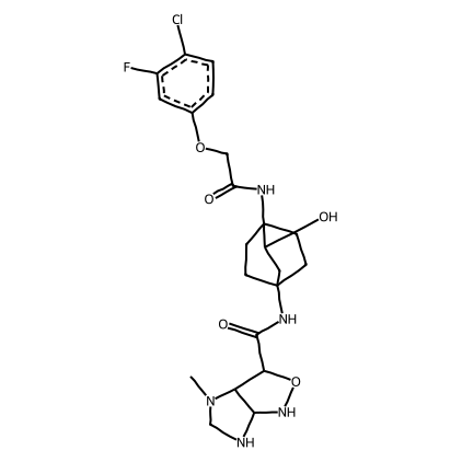 CN1CNC2NOC(C(=O)NC34CCC(NC(=O)COc5ccc(Cl)c(F)c5)(CC3)C(O)C4)C21